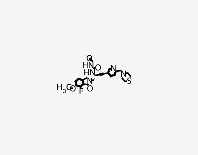 COc1ccc2c(c1F)C(=O)N(C[C@@H](C#Cc1ccc(CN3CCSCC3)nc1)NC(=O)NC=O)C2